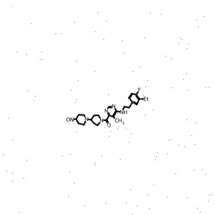 CCc1cc(CCNc2ncnc(C(=O)N3CCC(N4CCC(N=O)CC4)CC3)c2C)ccc1F